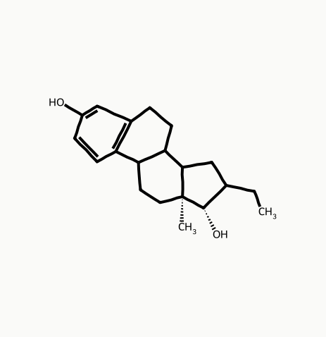 CCC1CC2C3CCc4cc(O)ccc4C3CC[C@]2(C)[C@H]1O